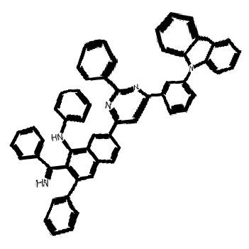 N=C(c1ccccc1)c1c(-c2ccccc2)cc2ccc(-c3cc(-c4cccc(-n5c6ccccc6c6ccccc65)c4)nc(-c4ccccc4)n3)cc2c1Nc1ccccc1